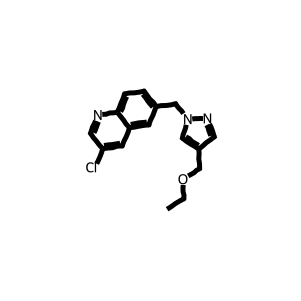 CCOCc1cnn(Cc2ccc3ncc(Cl)cc3c2)c1